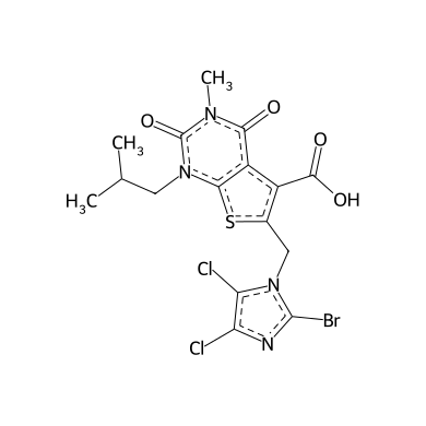 CC(C)Cn1c(=O)n(C)c(=O)c2c(C(=O)O)c(Cn3c(Br)nc(Cl)c3Cl)sc21